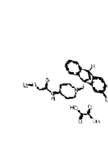 CCOCC(=O)NC1CCN(C[C@@]23C[C@H](c4ccccc42)c2ccc(Cl)cc23)CC1.O=C(O)C(=O)O